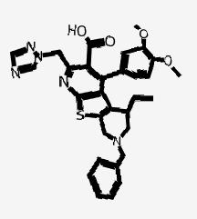 CCC1CN(Cc2ccccc2)Cc2sc3nc(Cn4cncn4)c(C(=O)O)c(-c4ccc(OC)c(OC)c4)c3c21